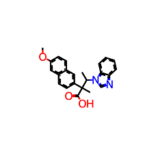 COc1ccc2cc(C(C)(C(=O)O)C(C)n3cnc4ccccc43)ccc2c1